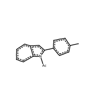 CC(=O)n1c(-c2ccc(C)cc2)cc2ccccc21